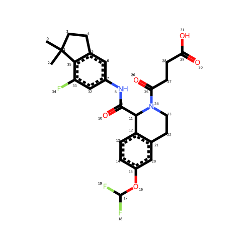 CC1(C)CCc2cc(NC(=O)C3c4ccc(OC(F)F)cc4CCN3C(=O)CCC(=O)O)cc(F)c21